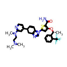 C[C@@H](Oc1cc(-n2cnc3c2C=CC(c2ccnc(N(C)CCN(C)C)c2)C3)sc1C(N)=O)c1ccccc1C(F)(F)F